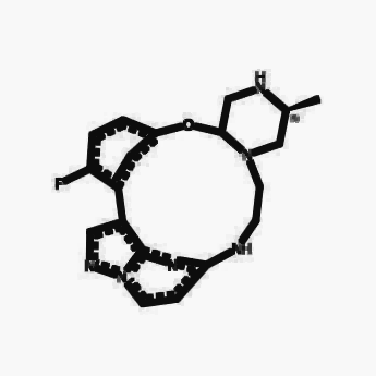 C[C@H]1CN2CCNc3ccn4ncc(c4n3)-c3cc(ccc3F)OC2CN1